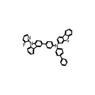 Fc1cccnc1-n1c2ccccc2c2cc(-c3ccc(N(c4ccc(-c5ccccc5)cc4)c4ccc5c(c4)sc4ccccc45)cc3)ccc21